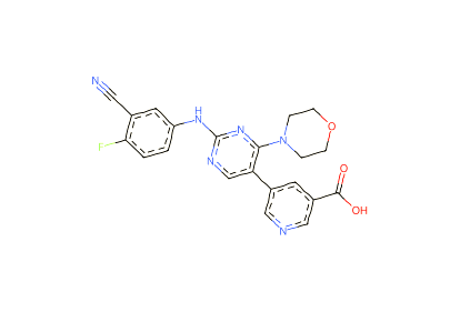 N#Cc1cc(Nc2ncc(-c3cncc(C(=O)O)c3)c(N3CCOCC3)n2)ccc1F